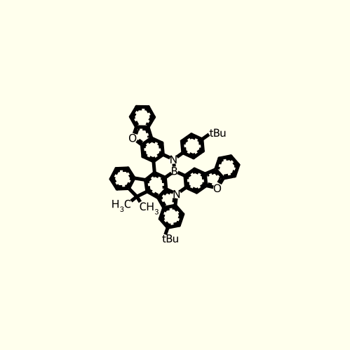 CC(C)(C)c1ccc(N2B3c4cc5c(cc4-n4c6ccc(C(C)(C)C)cc6c6c7c(c(c3c64)-c3cc4oc6ccccc6c4cc32)-c2ccccc2C7(C)C)oc2ccccc25)cc1